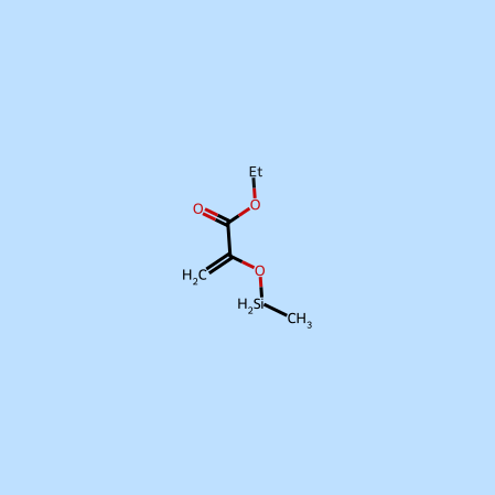 C=C(O[SiH2]C)C(=O)OCC